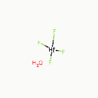 O.[F][Hf]([F])([F])[F]